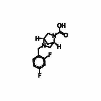 O=C(O)N1C[C@@H]2C[C@H]1CN2Cc1ccc(F)cc1F